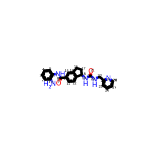 Nc1ccccc1NC(=O)c1ccc2c(c1)CCC2NC(=O)NCc1ccccn1